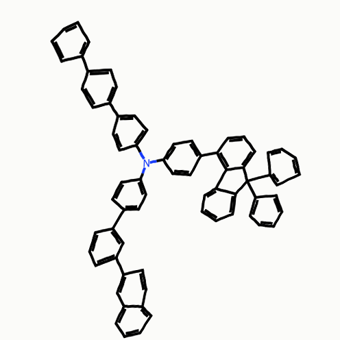 c1ccc(-c2ccc(-c3ccc(N(c4ccc(-c5cccc(-c6ccc7ccccc7c6)c5)cc4)c4ccc(-c5cccc6c5-c5ccccc5C6(c5ccccc5)c5ccccc5)cc4)cc3)cc2)cc1